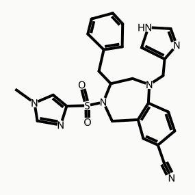 Cn1cnc(S(=O)(=O)N2Cc3cc(C#N)ccc3N(Cc3c[nH]cn3)CC2Cc2ccccc2)c1